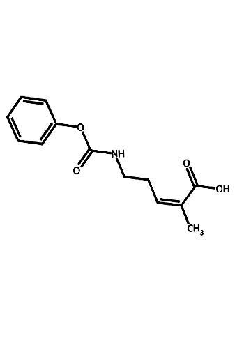 CC(=CCCNC(=O)Oc1ccccc1)C(=O)O